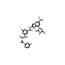 Cc1ccnc([C@H]2C[C@@H]2C(=O)Nc2cc(N[C@H](C)c3cn4cc(C(F)F)cc(N5CC(=O)N(C)C5=O)c4n3)nc(C)n2)n1